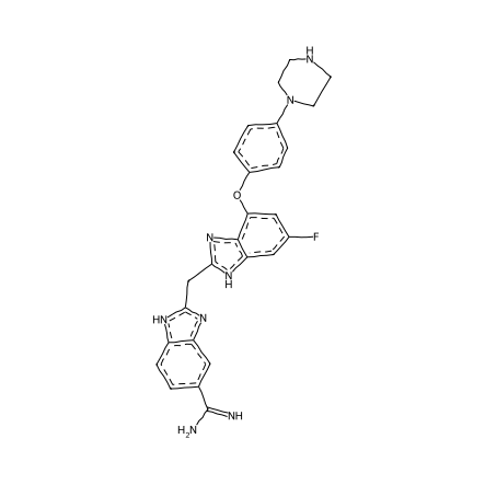 N=C(N)c1ccc2[nH]c(Cc3nc4c(Oc5ccc(N6CCNCC6)cc5)cc(F)cc4[nH]3)nc2c1